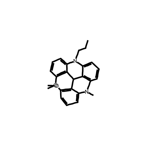 CCCN1c2cccc(OC)c2C2c3c(OC)cccc3N(C)c3cccc1c32